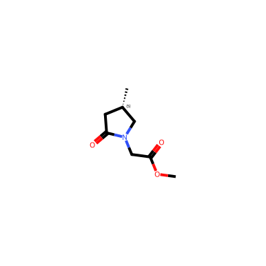 COC(=O)CN1C[C@@H](C)CC1=O